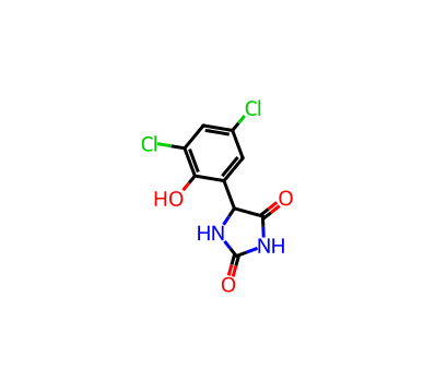 O=C1NC(=O)C(c2cc(Cl)cc(Cl)c2O)N1